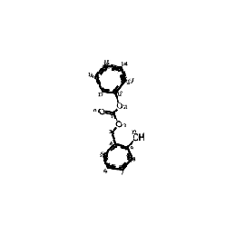 O=C(OCc1ccccc1O)Oc1ccccc1